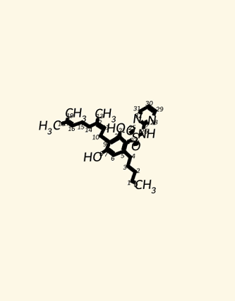 CCCCCc1cc(O)c(CC=C(C)CCC=C(C)C)c(O)c1S(=O)(=O)Nc1ncccn1